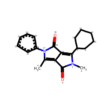 CC1=C2C(=O)N(C)C(C3CCCCC3)=C2C(=O)N1c1ccccc1